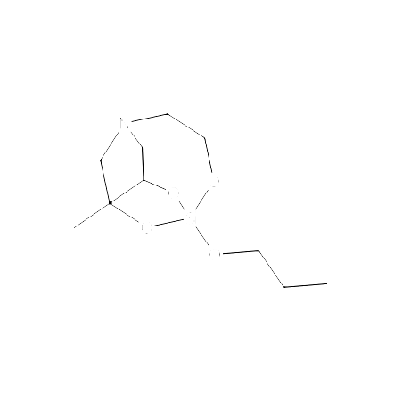 CCCO[Si]12OCCN(CCO1)CC(C)O2